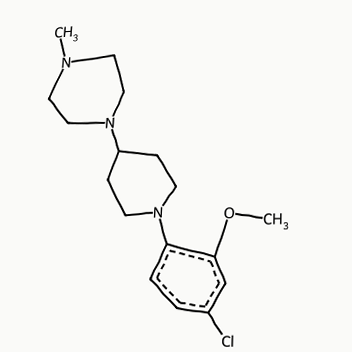 COc1cc(Cl)ccc1N1CCC(N2CCN(C)CC2)CC1